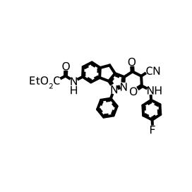 CCOC(=O)C(=O)Nc1ccc2c(c1)-c1c(c(C(=O)C(C#N)C(=O)Nc3ccc(F)cc3)nn1-c1ccccc1)C2